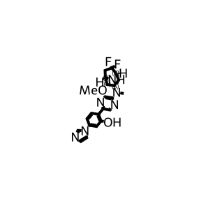 CO[C@H]1[C@H]2CC(F)(F)[C@@H](C[C@@H]1N(C)c1cnc(-c3ccc(-n4ccnc4)cc3O)cn1)N2